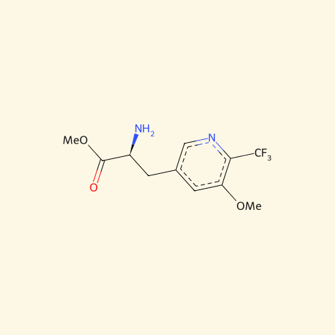 COC(=O)[C@@H](N)Cc1cnc(C(F)(F)F)c(OC)c1